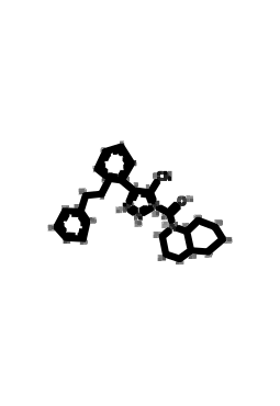 N#Cc1c(-c2ccccc2CCc2ccccc2)nnn1C(=O)N1CCCC2CCCCC21